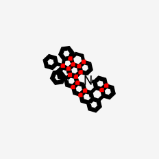 c1ccc(-c2cccc3cccc(-c4ccccc4N(c4ccccc4-c4ccc5c(c4)C(c4ccccc4)(c4ccccc4)c4ccccc4-5)c4ccccc4-c4cccc5cccc(C6CCCCC6)c45)c23)cc1